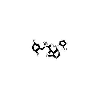 CN(Cc1cc(F)ccc1F)C(=O)c1n[nH]c2ncnc(N[C@@H]3CCC[C@H]3O)c12